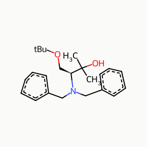 CC(C)(C)OC[C@H](N(Cc1ccccc1)Cc1ccccc1)C(C)(C)O